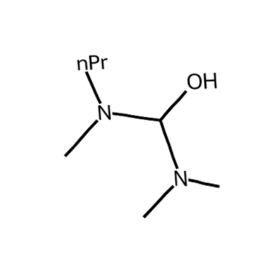 CCCN(C)C(O)N(C)C